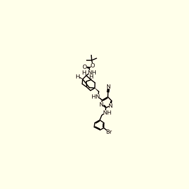 CC(C)(C)OC(=O)N[C@@H]1[C@@H]2CC3C[C@H]1C[C@@](CNc1nc(NCc4cccc(Br)c4)ncc1C#N)(C3)C2